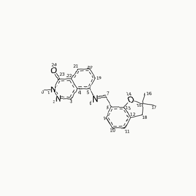 Cn1ncc2c(/N=C/c3cccc4c3OC(C)(C)C4)cccc2c1=O